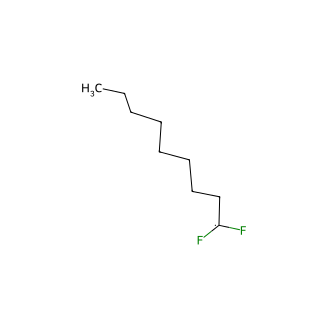 CCCCCCCC[C](F)F